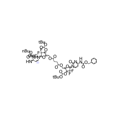 CCCCOC(=O)NC(=N)/C=C\N(C=O)[C@@H]1O[C@H](COC(=O)CCC(=O)OC[C@H]2O[C@@H](n3ccc(NC(=O)OCc4ccccc4)nc3=O)C(F)(F)[C@@H]2OC(=O)OC(C)(C)C)[C@@H](OC(=O)OC(C)(C)C)C1(F)F